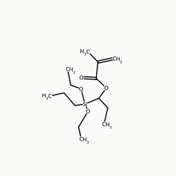 C=C(C)C(=O)OC(CC)[Si](CCC)(OCC)OCC